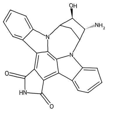 N[C@@H]1C2CC([C@H]1O)n1c3ccccc3c3c4c(c5c6ccccc6n2c5c31)C(=O)NC4=O